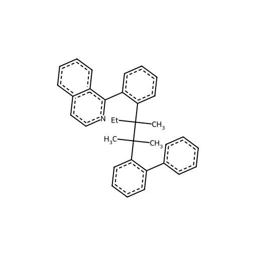 CCC(C)(c1ccccc1-c1nccc2ccccc12)C(C)(C)c1ccccc1-c1ccccc1